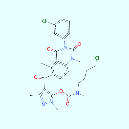 Cc1nn(C)c(OC(=O)N(C)CCCCCl)c1C(=O)c1ccc2c(c1C)c(=O)n(-c1cccc(Cl)c1)c(=O)n2C